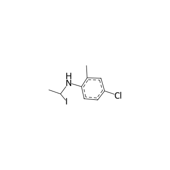 Cc1cc(Cl)ccc1NC(C)I